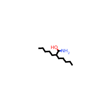 CCCCCC(CCCCC)C(N)O